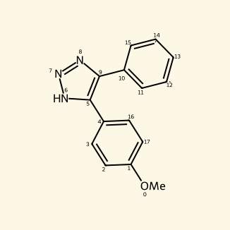 COc1ccc(-c2[nH]nnc2-c2c[c]c[c]c2)cc1